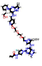 C=CC(=O)N[C@@H]1CN(c2nc(Nc3cn(CCOCCOCCOc4ccc(CNc5cc(N6CCCC[C@H]6CCO)nc6c(CC)cnn56)cn4)nc3OC)c3ncn(C)c3n2)C[C@H]1F